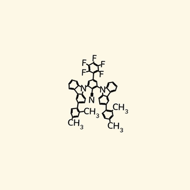 Cc1ccc(-c2ccc3c(c2)c2ccccc2n3-c2cc(-c3c(F)c(F)c(F)c(F)c3F)cc(-n3c4ccccc4c4cc(-c5ccc(C)cc5C)ccc43)c2C#N)c(C)c1